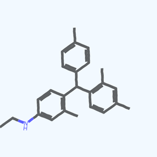 CCNc1ccc(C(c2ccc(C)cc2)c2ccc(C)cc2C)c(C)c1